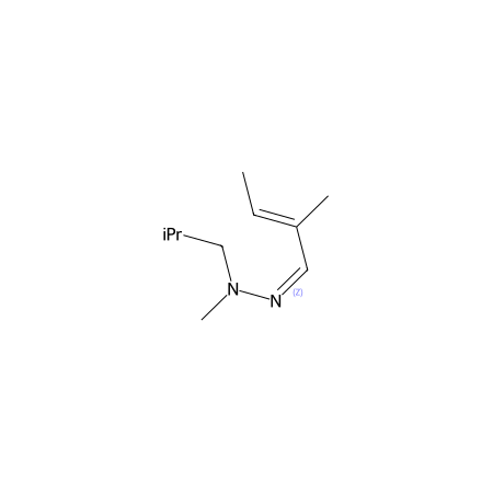 CC=C(C)/C=N\N(C)CC(C)C